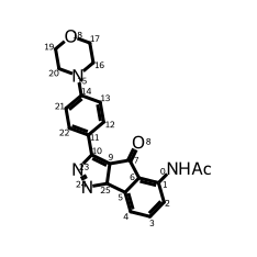 CC(=O)Nc1cccc2c1C(=O)C1=C(c3ccc(N4CCOCC4)cc3)N=NC12